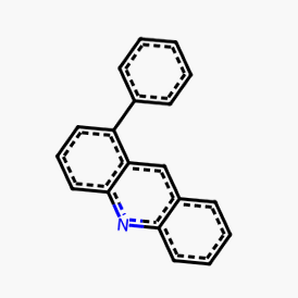 c1ccc(-c2cccc3nc4ccccc4cc23)cc1